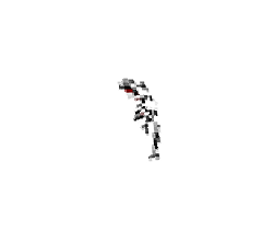 COc1ccc(-c2ccc(-c3ccc4c(c3)Nc3ccc(CCOc5ccc(N6CCOCC6)cc5)cc3NC4=O)cc2OC)cc1